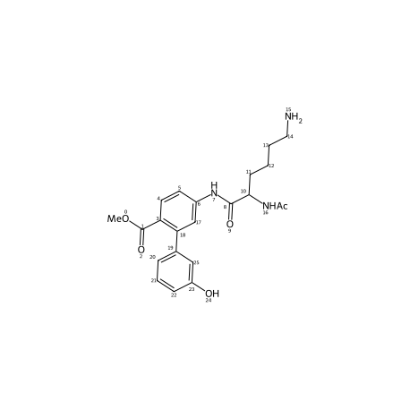 COC(=O)c1ccc(NC(=O)C(CCCCN)NC(C)=O)cc1-c1cccc(O)c1